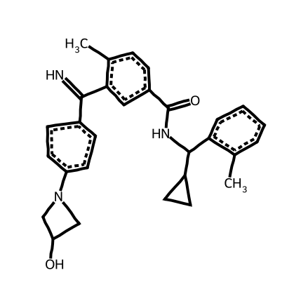 Cc1ccc(C(=O)NC(c2ccccc2C)C2CC2)cc1C(=N)c1ccc(N2CC(O)C2)cc1